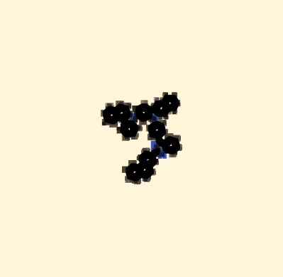 c1ccc2cc3c(cc2c1)c1ccc(-n2c4ccccc4c4c5ccccc5ccc42)cc1n3-c1ccc(-c2nc(-c3ccc4c(ccc5ccccc54)c3)nc3ccccc23)cc1